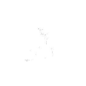 CN(C)C=O.O=P([O-])([O-])[O-].[Na+].[Na+].[Na+]